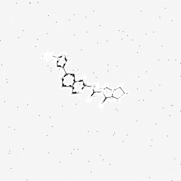 Cn1cc(-c2ccc3cnc(NC(=O)N4CN5CCCC5C4=O)cc3c2)cn1